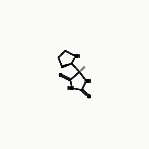 C[C@]1([C@H]2CCCN2)NC(=O)NC1=O